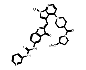 COC1CCN(C(=O)C2CCN(c3ccnc4c3c(C=C3Oc5ccc(NC(=O)Nc6cccnc6)cc5C3=O)cn4C)CC2)C1